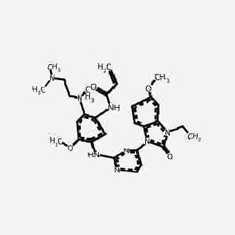 C=CC(=O)Nc1cc(Nc2nccc(-n3c(=O)n(CC)c4cc(OC)ccc43)n2)c(OC)cc1N(C)CCN(C)C